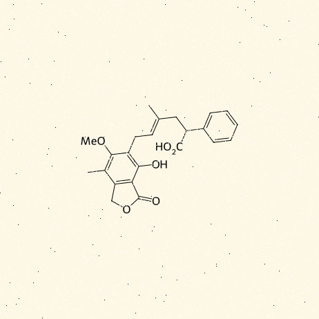 COc1c(C)c2c(c(O)c1C/C=C(\C)CC(C(=O)O)c1ccccc1)C(=O)OC2